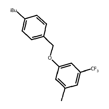 CCC(C)c1ccc(COc2cc(C)cc(C(F)(F)F)c2)cc1